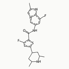 Cc1cn2cc(NC(=O)c3sc(C4CC(C)NC(C)C4)cc3F)cc(F)c2n1